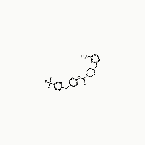 Cc1cccc(CN2CCN(C(=O)Oc3ccc(Cc4ccc(C(F)(F)F)cc4)cc3)CC2)n1